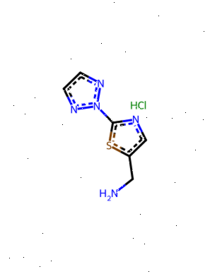 Cl.NCc1cnc(-n2nccn2)s1